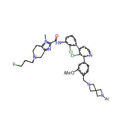 COc1cc(-c2nccc(-c3cccc(NC(=O)c4nc5c(n4C)CCN(CCCF)C5)c3Cl)c2Cl)ccc1CN1CC2(C1)CN(C(C)=O)C2